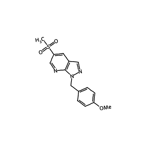 COc1ccc(Cn2ncc3cc(S(C)(=O)=O)cnc32)cc1